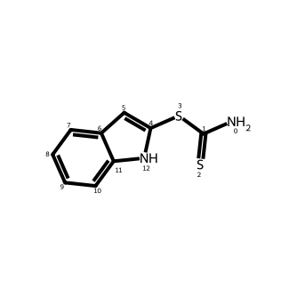 NC(=S)Sc1cc2ccccc2[nH]1